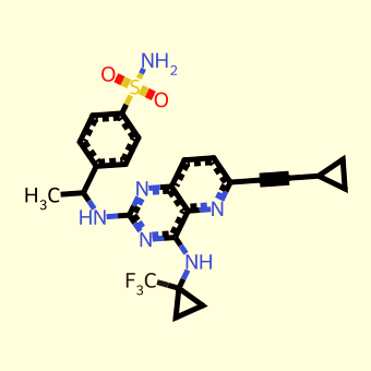 CC(Nc1nc(NC2(C(F)(F)F)CC2)c2nc(C#CC3CC3)ccc2n1)c1ccc(S(N)(=O)=O)cc1